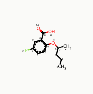 CCC[C@H](C)Oc1ccc(F)cc1C(=O)O